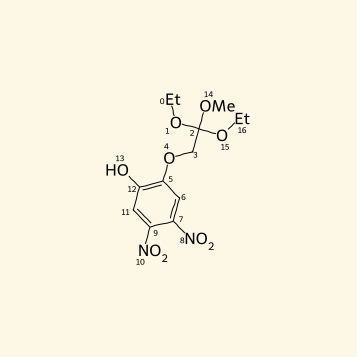 CCOC(COc1cc([N+](=O)[O-])c([N+](=O)[O-])cc1O)(OC)OCC